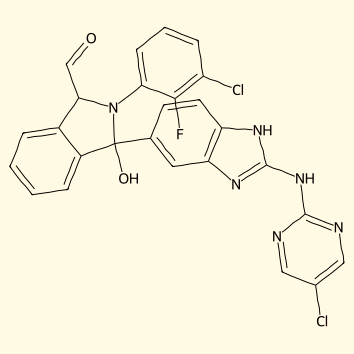 O=CC1c2ccccc2C(O)(c2ccc3[nH]c(Nc4ncc(Cl)cn4)nc3c2)N1c1cccc(Cl)c1F